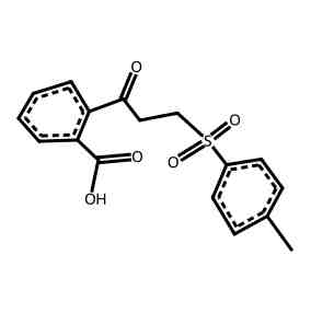 Cc1ccc(S(=O)(=O)CCC(=O)c2ccccc2C(=O)O)cc1